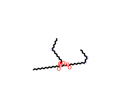 CCCCC/C=C\C/C=C\CCCCCCCC(=O)OC[C@@H](COC(=O)CCCCCCCCCCCCCC)OC(=O)CCCCCCC/C=C\CCCCCC